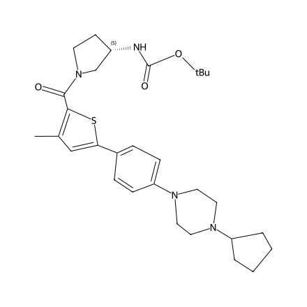 Cc1cc(-c2ccc(N3CCN(C4CCCC4)CC3)cc2)sc1C(=O)N1CC[C@H](NC(=O)OC(C)(C)C)C1